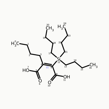 CCCC/C(C(=O)O)=C(/C(=O)O)[Si](CCCC)(CCCC)CCCC